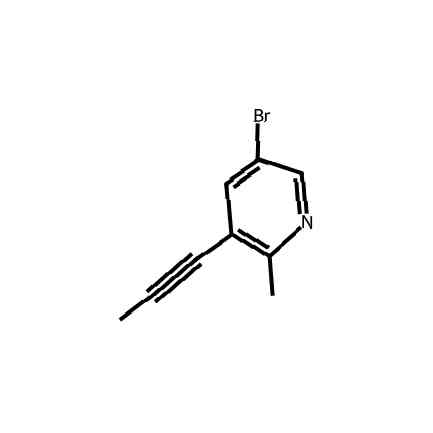 CC#Cc1cc(Br)cnc1C